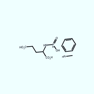 CCCC.O=C(O)CCC(N[PH](=O)O)C(=O)O.c1ccccc1